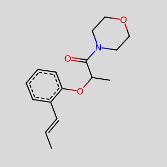 C/C=C/c1ccccc1OC(C)C(=O)N1CCOCC1